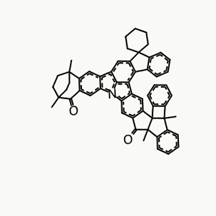 CC12CCC(C)(CC1)c1cc3c4cc5c(c6c7cc8c(cc7n(c3cc1C2=O)c46)C(=O)C1(C)c2ccccc2C2(C)c3ccccc3C812)-c1ccccc1C51CCCCC1